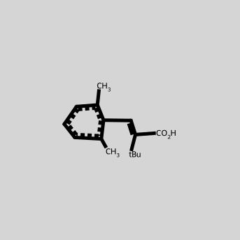 Cc1cccc(C)c1C=C(C(=O)O)C(C)(C)C